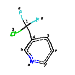 FC(F)(Cl)c1cc[c]nc1